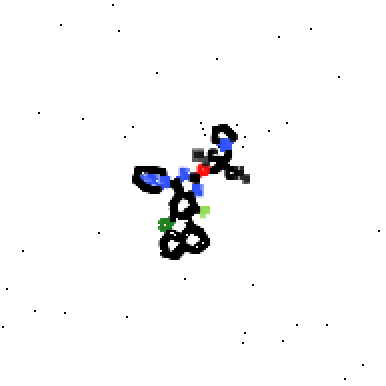 CC(C)(COc1nc(N2CC3CCC(C2)N3)c2cc(Cl)c(-c3cccc4ccccc34)c(F)c2n1)CN1CCCC1